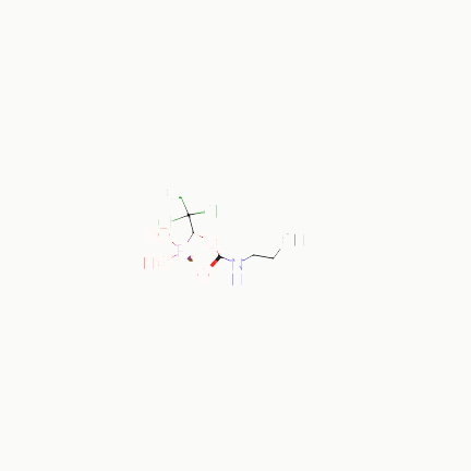 CCCNC(=O)O[C@H](C(Cl)(Cl)Cl)P(O)(O)=S